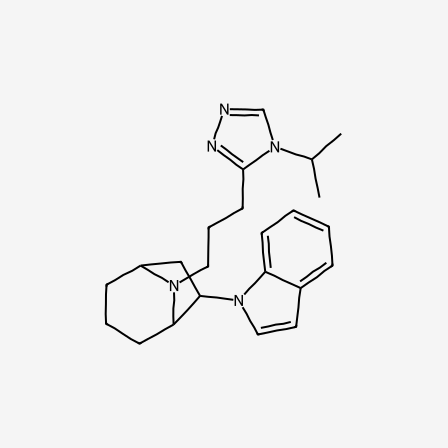 CC(C)n1cnnc1CCCN1C2CCCC1C(n1ccc3ccccc31)C2